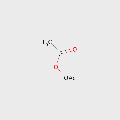 CC(=O)OOC(=O)C(F)(F)F